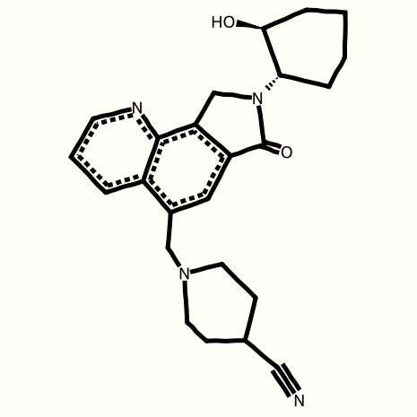 N#CC1CCN(Cc2cc3c(c4ncccc24)CN([C@H]2CCCC[C@@H]2O)C3=O)CC1